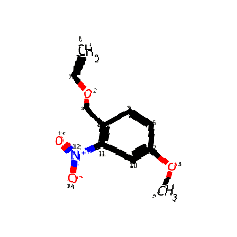 C=COCc1ccc(OC)cc1[N+](=O)[O-]